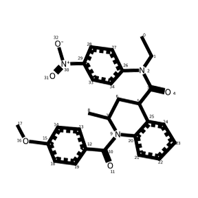 CCN(C(=O)C1CC(C)N(C(=O)c2ccc(OC)cc2)c2ccccc21)c1ccc([N+](=O)[O-])cc1